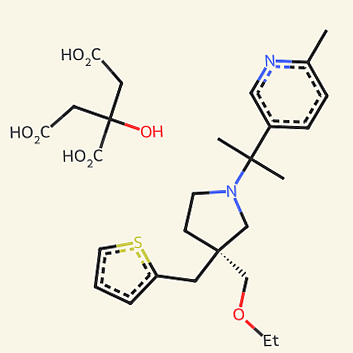 CCOC[C@]1(Cc2cccs2)CCN(C(C)(C)c2ccc(C)nc2)C1.O=C(O)CC(O)(CC(=O)O)C(=O)O